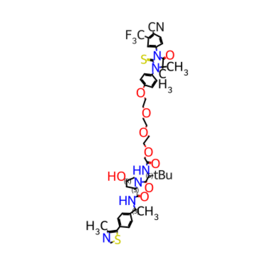 Cc1ncsc1-c1ccc([C@H](C)NC(=O)[C@@H]2C[C@@H](O)CN2C(=O)[C@@H](NC(=O)COCCOCCOCCOc2ccc(N3C(=S)N(c4ccc(C#N)c(C(F)(F)F)c4)C(=O)C3(C)C)cc2)C(C)(C)C)cc1